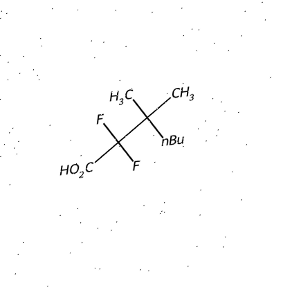 CCCCC(C)(C)C(F)(F)C(=O)O